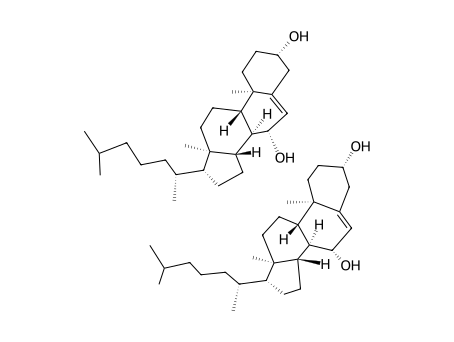 CC(C)CCC[C@@H](C)[C@H]1CC[C@H]2[C@@H]3[C@@H](O)C=C4C[C@@H](O)CC[C@]4(C)[C@H]3CC[C@]12C.CC(C)CCC[C@@H](C)[C@H]1CC[C@H]2[C@@H]3[C@@H](O)C=C4C[C@@H](O)CC[C@]4(C)[C@H]3CC[C@]12C